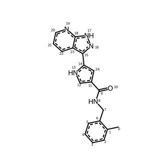 Cc1ccccc1CNC(=O)c1c[nH]c(-c2n[nH]c3ncccc23)c1